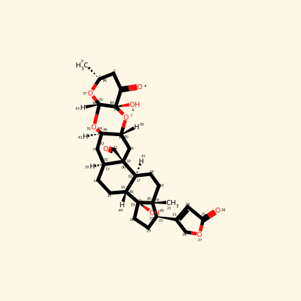 C[C@@H]1CC(=O)[C@]2(O)O[C@@H]3C[C@@]4(C=O)[C@@H](CC[C@@H]5[C@@H]4CC[C@]4(C)[C@@H](C6=CC(=O)OC6)CC[C@]54O)C[C@H]3O[C@@H]2O1